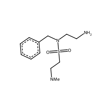 CNCCS(=O)(=O)N(CCN)Cc1ccccc1